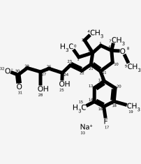 CCC1(CC)CC(C)(OC)CC(c2cc(C)c(F)c(C)c2)=C1/C=C/C(O)CC(O)CC(=O)[O-].[Na+]